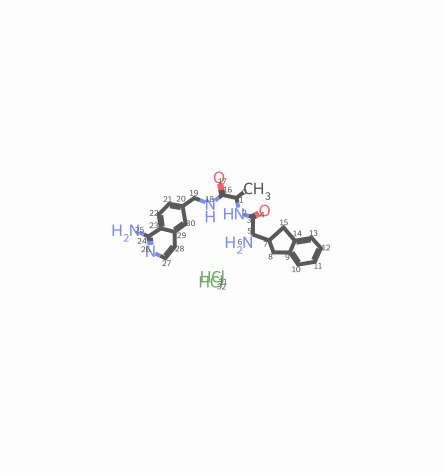 CC(NC(=O)C(N)C1Cc2ccccc2C1)C(=O)NCc1ccc2c(N)nccc2c1.Cl.Cl